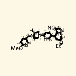 CCOc1cc(-c2ccc(N3C[C@@H]4CC3CN4Cc3ccc(OC)nc3)nc2)c2c(C#N)cnn2c1